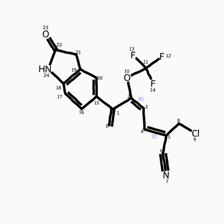 C=C(/C(=C\C=C(\C#N)CCl)OC(F)(F)F)c1ccc2c(c1)CC(=O)N2